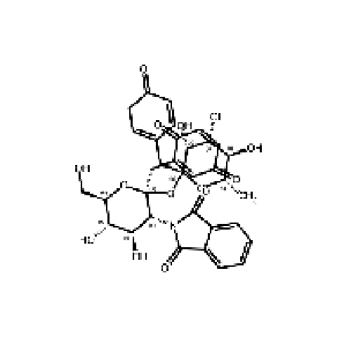 C[C@@H]1O[C@](CC2=CCC(=O)C=C2)(O[C@]2(CC3=CC(=O)C=CC3=O)O[C@H](CO)[C@@H](O)[C@H](O)[C@H]2N2C(=O)c3ccccc3C2=O)[C@H](O)[C@H](O)[C@H]1O